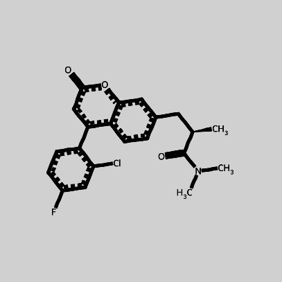 C[C@H](Cc1ccc2c(-c3ccc(F)cc3Cl)cc(=O)oc2c1)C(=O)N(C)C